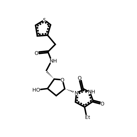 CCc1cn([C@@H]2CC(O)[C@H](CNC(=O)Cc3ccsc3)O2)c(=O)[nH]c1=O